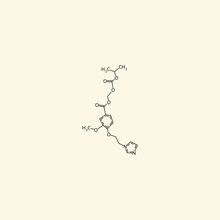 COc1cc(C(=O)OCOC(=O)OC(C)C)ccc1OCCn1ccnc1